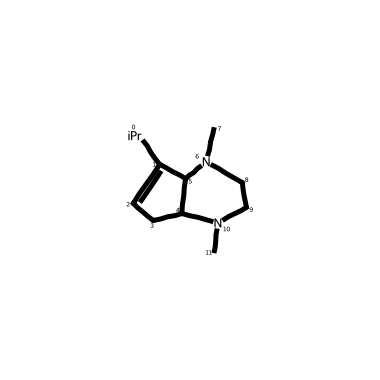 CC(C)C1=CCC2C1N(C)CCN2C